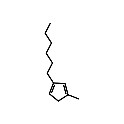 CCCCCCC1=CCC(C)=C1